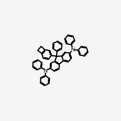 c1ccc(N(c2ccccc2)c2ccc3c(c2)C(c2ccccc2)(c2ccc4c(c2)CC4)c2cc(N(c4ccccc4)c4ccccc4)ccc2-3)cc1